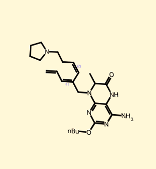 C=C/C=C(\C=C/CCN1CCCC1)CN1c2nc(OCCCC)nc(N)c2NC(=O)C1C